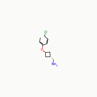 C/C=C(\C=C/CCl)O[C@H]1C[C@H](CN)C1